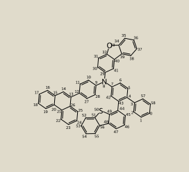 c1ccc(-c2ccc(N(c3ccc(-c4cc5ccccc5c5ccccc45)cc3)c3ccc4oc5ccccc5c4c3)cc2-c2cccc3c2sc2ccccc23)cc1